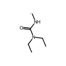 [CH2]NC(=O)N(CC)CC